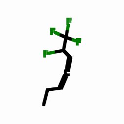 CCC=C=CC(F)C(F)(F)F